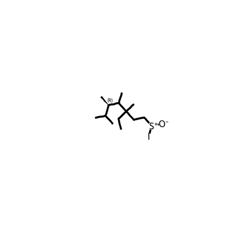 CCC(C)(CC[S+]([O-])I)C(C)[C@H](C)C(C)C